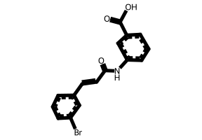 O=C(/C=C/c1cccc(Br)c1)Nc1cccc(C(=O)O)c1